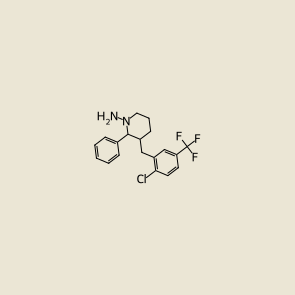 NN1CCCC(Cc2cc(C(F)(F)F)ccc2Cl)C1c1ccccc1